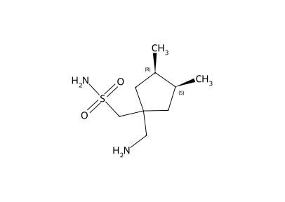 C[C@@H]1CC(CN)(CS(N)(=O)=O)C[C@@H]1C